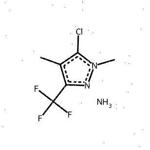 Cc1c(C(F)(F)F)nn(C)c1Cl.N